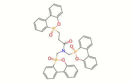 O=C(CCP1(=O)Oc2ccccc2-c2ccccc21)N(CP1(=O)Oc2ccccc2-c2ccccc21)CP1(=O)Oc2ccccc2-c2ccccc21